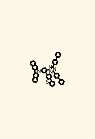 c1ccc(-c2ccc(-c3nc(-c4ccc(-c5ccccc5)cc4)nc(-c4ccc(-n5c6cc7ccccc7cc6c6cc7ccccc7cc65)cc4-c4ccc5c(c4)sc4ccccc45)n3)cc2)cc1